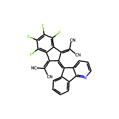 N#CC(C#N)=C1C(=C2c3ccccc3-c3ncccc32)C(=C(C#N)C#N)c2c(F)c(F)c(F)c(F)c21